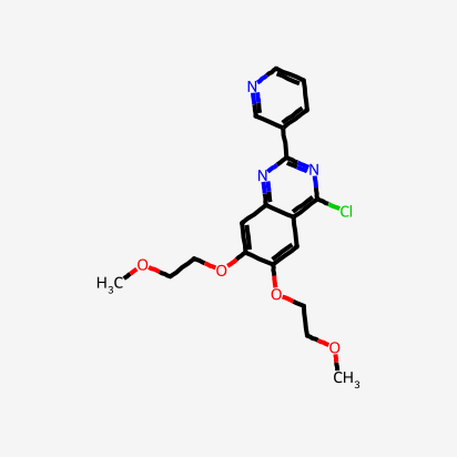 COCCOc1cc2nc(-c3cccnc3)nc(Cl)c2cc1OCCOC